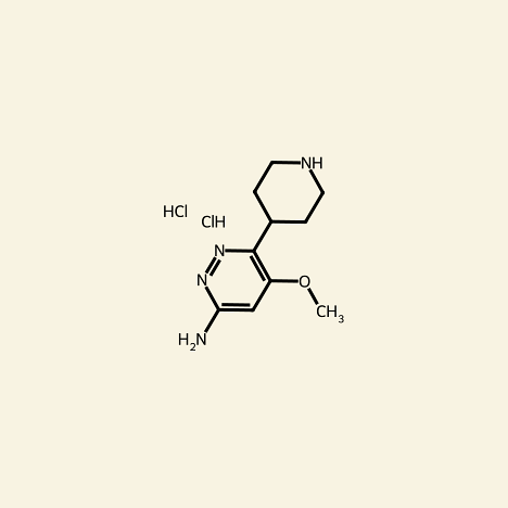 COc1cc(N)nnc1C1CCNCC1.Cl.Cl